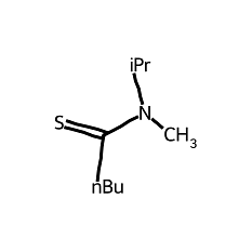 CCCCC(=S)N(C)C(C)C